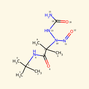 CC(C)(C)NC(=O)C(C)(C)N(N=O)NC(N)=O